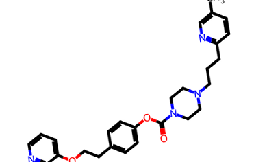 Cc1ccc(CCCN2CCN(C(=O)Oc3ccc(CCOc4cccnc4)cc3)CC2)nc1